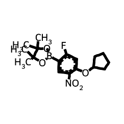 CC1(C)OB(c2cc([N+](=O)[O-])c(OC3CCCC3)cc2F)OC1(C)C